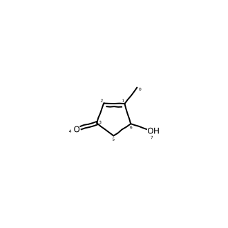 CC1=CC(=O)CC1O